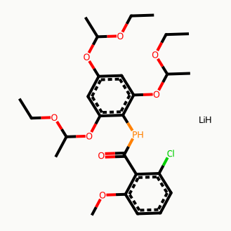 CCOC(C)Oc1cc(OC(C)OCC)c(PC(=O)c2c(Cl)cccc2OC)c(OC(C)OCC)c1.[LiH]